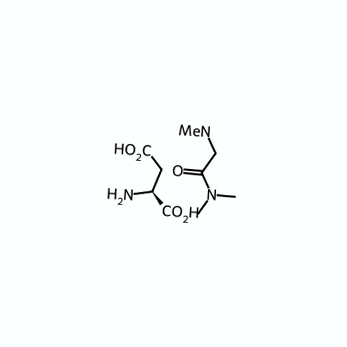 CNCC(=O)N(C)C.N[C@@H](CC(=O)O)C(=O)O